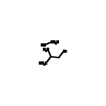 CC(C)CC(N)C(=O)O.O=C(O)O